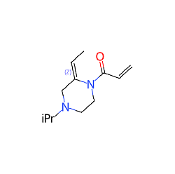 C=CC(=O)N1CCN(C(C)C)C/C1=C/C